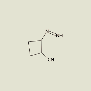 N#CC1CCC1N=N